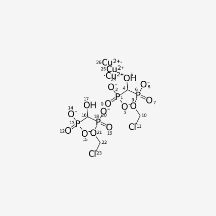 O=P([O-])([O-])C(O)P(=O)([O-])OCCl.O=P([O-])([O-])C(O)P(=O)([O-])OCCl.[Cu+2].[Cu+2].[Cu+2]